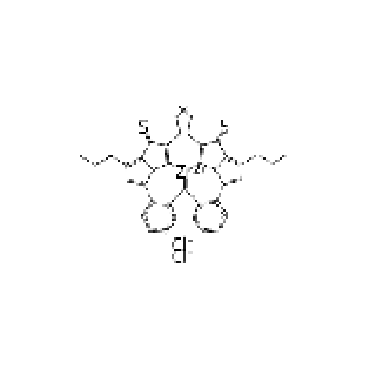 CCCC1=C2C(=S)C(CCC)=[C]([Zr+2]([C]3=C(CCC)C(=S)C4=C(CCC)C=C(c5ccccc5)C43)=[C](C)C)C2C(c2ccccc2)=C1.[Cl-].[Cl-]